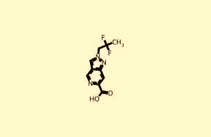 CC(F)(F)Cn1cc2cnc(C(=O)O)cc2n1